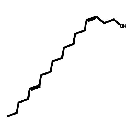 CCCCC=CCCCCCCCC/C=C\CCO